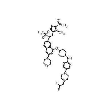 C=[N+]([O-])c1ncc(CN(c2cnc3cc(N4CCOCC4)nc(O[C@H]4CC[C@@H](Nc5ncc(N6CCN(CC(F)F)CC6)cn5)CC4)c3c2)S(C)(=O)=O)n1C